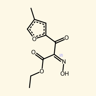 CCOC(=O)/C(=N\O)C(=O)c1cc(C)co1